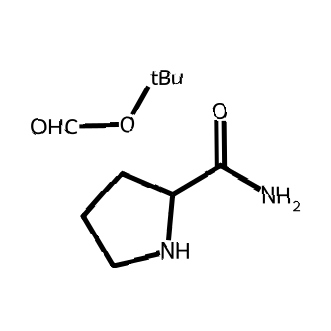 CC(C)(C)OC=O.NC(=O)C1CCCN1